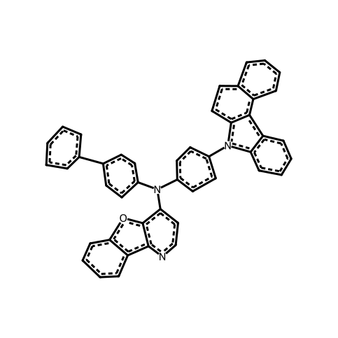 c1ccc(-c2ccc(N(c3ccc(-n4c5ccccc5c5c6ccccc6ccc54)cc3)c3ccnc4c3oc3ccccc34)cc2)cc1